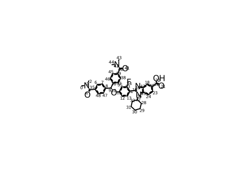 CN(C)C(=O)c1ccc(C(Oc2ccc(-c3nc4cc(C(=O)O)ccc4n3C3CCCCC3)c(F)c2)c2ccc(C(=O)N(C)C)cc2)cc1